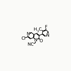 Cc1c(F)cncc1-c1cc2cnc(Cl)cc2n(CC#N)c1=O